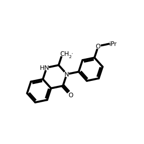 [CH2]C1Nc2ccccc2C(=O)N1c1cccc(OC(C)C)c1